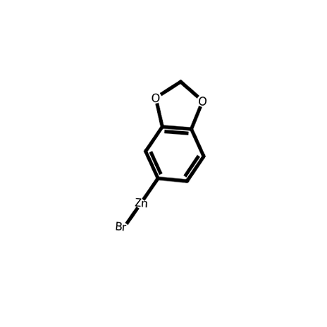 [Br][Zn][c]1ccc2c(c1)OCO2